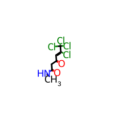 CNC(=O)CC(=O)C=C(Cl)C(Cl)(Cl)Cl